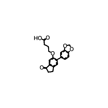 O=C(O)CCCOc1cc2c(cc1-c1ccc3c(c1)OCO3)CCC2=O